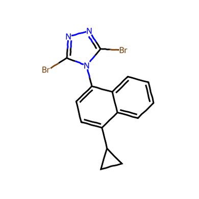 Brc1nnc(Br)n1-c1ccc(C2CC2)c2ccccc12